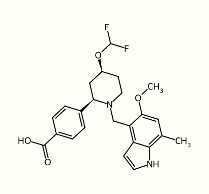 COc1cc(C)c2[nH]ccc2c1CN1CC[C@H](OC(F)F)C[C@@H]1c1ccc(C(=O)O)cc1